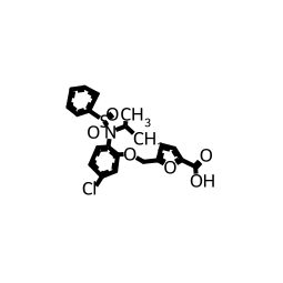 CC(C)N(c1ccc(Cl)cc1OCc1ccc(C(=O)O)o1)S(=O)(=O)c1ccccc1